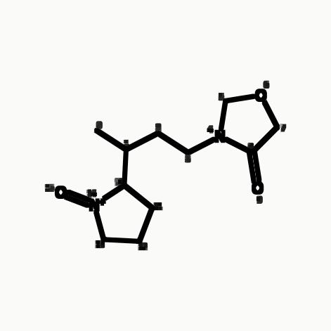 CC(CCN1COCC1=O)C1CCC[N+]1=O